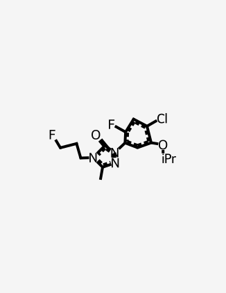 Cc1nn(-c2cc(OC(C)C)c(Cl)cc2F)c(=O)n1CCCF